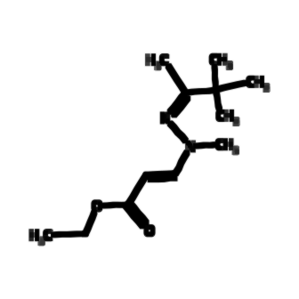 CCOC(=O)/C=C/N(C)N=C(C)C(C)(C)C